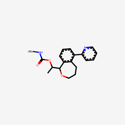 CCCCNC(=O)OC(C)C1OCCCc2c(-c3ccccn3)cccc21